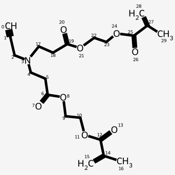 C#CCN(CCC(=O)OCCOC(=O)C(=C)C)CCC(=O)OCCOC(=O)C(=C)C